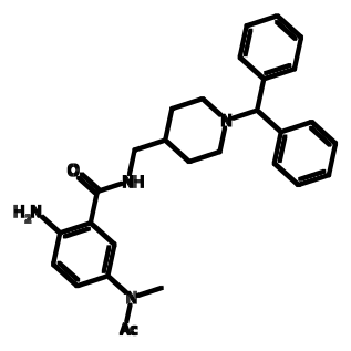 CC(=O)N(C)c1ccc(N)c(C(=O)NCC2CCN(C(c3ccccc3)c3ccccc3)CC2)c1